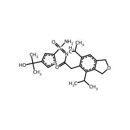 CC(C)c1cc2c(c(C(C)C)c1CC(=O)N=S(N)(=O)c1cc(C(C)(C)O)cs1)COC2